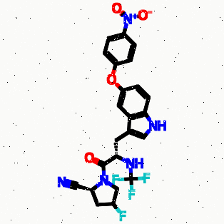 N#C[C@@H]1CC(F)CN1C(=O)[C@H](Cc1c[nH]c2ccc(Oc3ccc([N+](=O)[O-])cc3)cc12)NC(F)(F)F